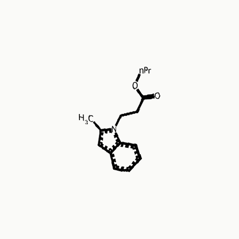 CCCOC(=O)CCn1c(C)cc2ccccc21